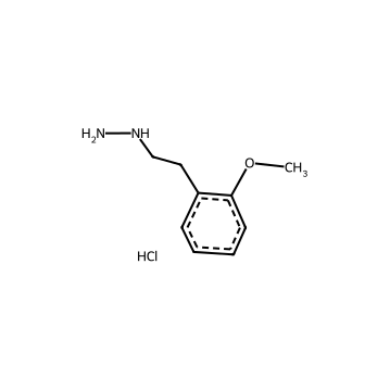 COc1ccccc1CCNN.Cl